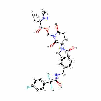 CCC(NC)C(=O)OCN1C(=O)CCC(N2Cc3cc(CNC(=O)C(F)(F)c4ccc(F)cc4)ccc3C2=O)C1=O